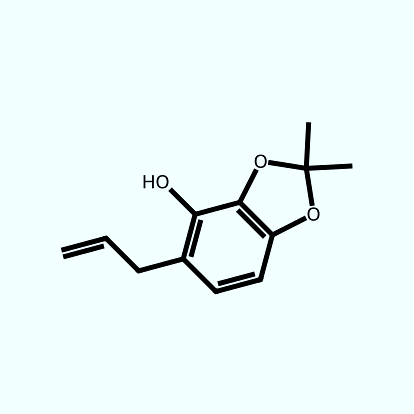 C=CCc1ccc2c(c1O)OC(C)(C)O2